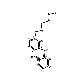 CCCCCCc1ccc2cc3ccc[c]c3cc2c1